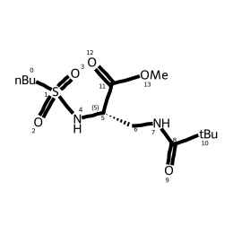 CCCCS(=O)(=O)N[C@@H](CNC(=O)C(C)(C)C)C(=O)OC